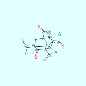 O=C(Cl)C12CC3(C(=O)Cl)CC(C(=O)Cl)(CC(C(=O)Cl)(C1)C3=O)C2=O